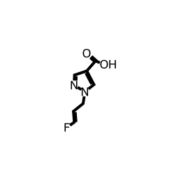 O=C(O)c1cnn(C/C=C/F)c1